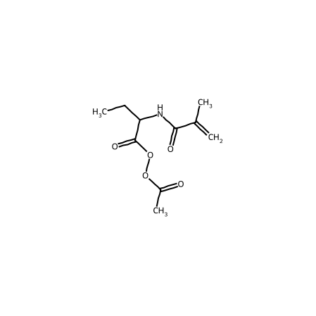 C=C(C)C(=O)NC(CC)C(=O)OOC(C)=O